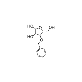 OC[C@H]1OC(O)[C@H](O)[C@@H]1OCc1ccccc1